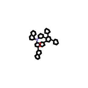 c1ccc(-c2cc(-c3ccccc3)c(-c3cccc(N(c4ccc(-c5ccc6ccccc6c5)cc4)c4cccc5ccccc45)c3)c(-c3ccccc3)c2)cc1